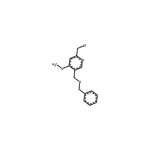 COc1cc(CCl)ncc1COCc1ccccc1